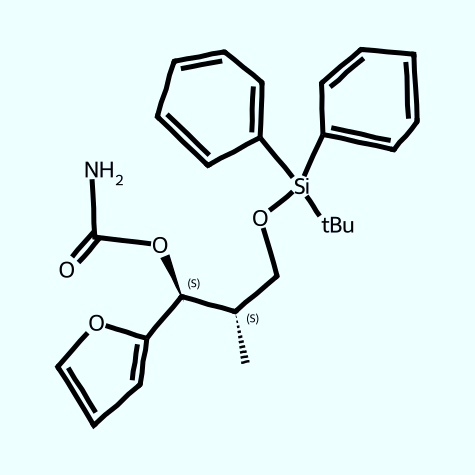 C[C@@H](CO[Si](c1ccccc1)(c1ccccc1)C(C)(C)C)[C@H](OC(N)=O)c1ccco1